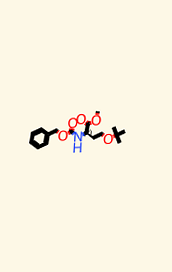 COC(=O)[C@@H](CCOC(C)(C)C)NC(=O)OCc1ccccc1